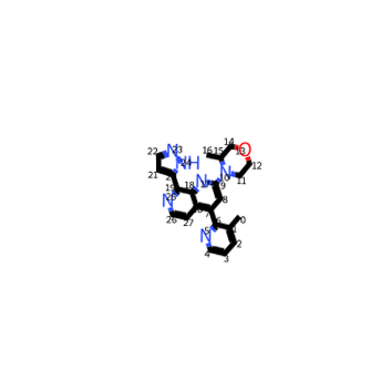 Cc1cccnc1-c1cc(N2CCOCC2C)nc2c(-c3ccn[nH]3)nccc12